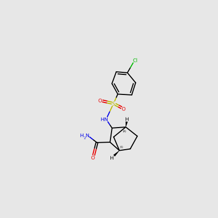 NC(=O)C1C(NS(=O)(=O)c2ccc(Cl)cc2)[C@@H]2CC[C@H]1C2